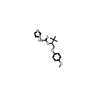 COc1ccc(OCC(OC(=S)Nn2ccnc2)C(C)(C)C)cc1